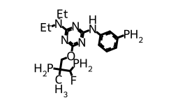 CCN(CC)c1nc(Nc2cccc(P)c2)nc(OCC(C)(P)C(F)P)n1